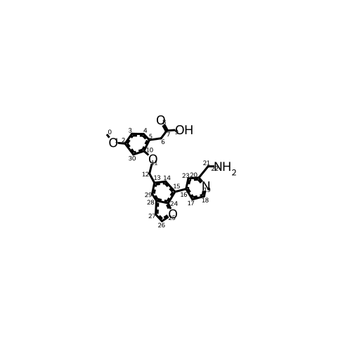 COc1ccc(CC(=O)O)c(OCc2cc(-c3ccnc(CN)c3)c3occc3c2)c1